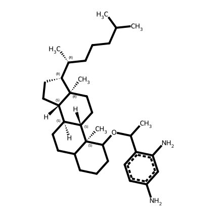 CC(C)CCC[C@@H](C)[C@H]1CC[C@H]2[C@@H]3CCC4CCCC(OC(C)c5ccc(N)cc5N)[C@]4(C)[C@H]3CC[C@]12C